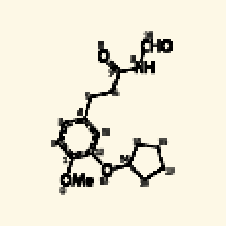 COc1ccc(CCC(=O)NC=O)cc1OC1CCCC1